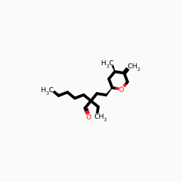 C=C1CO[C@@H](CCC(C=O)(CC)CCCCC)C[C@H]1C